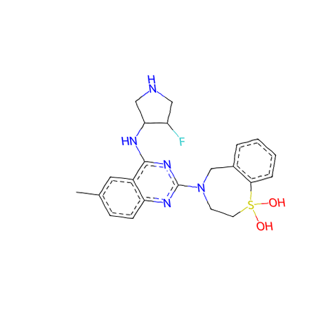 Cc1ccc2nc(N3CCS(O)(O)c4ccccc4C3)nc(NC3CNCC3F)c2c1